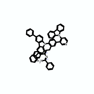 N/C(=N\C(=C/Cc1cc(-c2cnccc2-n2c3ccccc3c3ccccc32)ccc1-n1c2ccc(-c3ccccc3)cc2c2cc(-c3ccccc3)ccc21)c1ccccc1)c1ccccc1